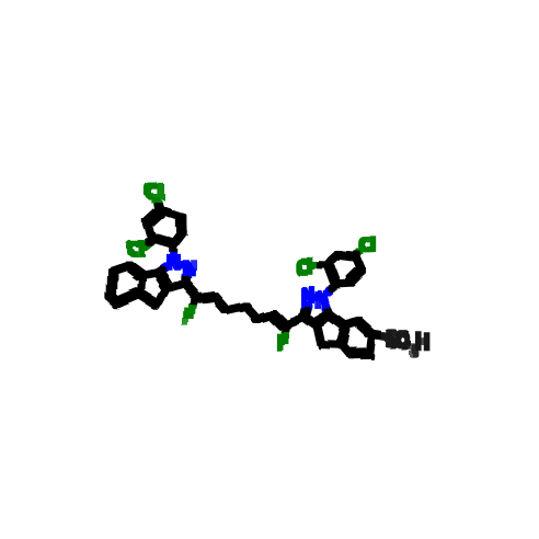 O=S(=O)(O)c1ccc2c(c1)-c1c(c(/C(F)=C/CCC/C=C(\F)c3nn(-c4ccc(Cl)cc4Cl)c4c3Cc3ccccc3-4)nn1-c1ccc(Cl)cc1Cl)C2